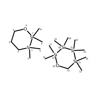 C[Si]1(C)CCCO[Si]1(C)C.C[Si]1(C)CO[Si](C)(C)[Si](C)(C)[Si]1(C)C